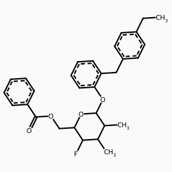 CCc1ccc(Cc2ccccc2OC2OC(COC(=O)c3ccccc3)C(F)C(C)C2C)cc1